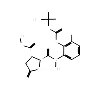 COC(=O)[C@H]1CC(=O)N[C@@H]1C(=O)N(C)c1cccc(Cl)c1NC(=O)OC(C)(C)C